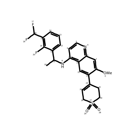 COc1cc2nccc(NC(C)c3cccc(C(F)F)c3F)c2cc1C1=CCS(=O)(=O)CC1